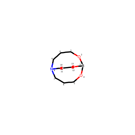 C1COB2OCCCN(C1)CCCO2